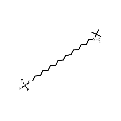 CCCCCCCCCCCCCCCC[NH2+]C(C)(C)C.F[B-](F)(F)F